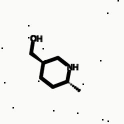 C[C@@H]1CC[C@@H](CO)CN1